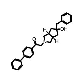 O=C(CN1C[C@@H]2CC(O)(Cc3ccccc3)C[C@@H]2C1)c1ccc(-c2ccccc2)cc1